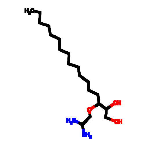 CCCCCCCCCCCCCCC(OCC(N)N)C(O)CO